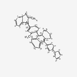 Cc1nc2ccccc2n1C1=CC(C)C(c2c3ccccc3c(-c3ccc(-c4ccccc4)cc3)c3ccccc23)C=C1